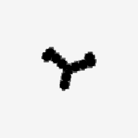 c1ccc(-c2ccc(-c3nc(-c4ccc(-c5ccc(-c6cccc7ccccc67)cc5)cc4)cc(-c4ccc(-c5ccc(-c6cccc7ccccc67)cc5)cc4)n3)cc2)cc1